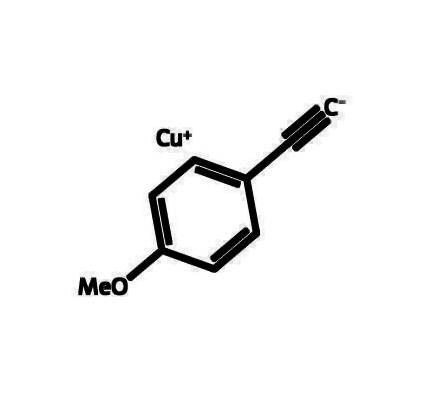 [C-]#Cc1ccc(OC)cc1.[Cu+]